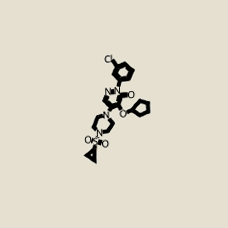 O=c1c(OC2CCCC2)c(N2CCN(S(=O)(=O)C3CC3)CC2)cnn1-c1cccc(Cl)c1